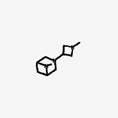 CN1CC(N2CC3CC(C2)N3C)C1